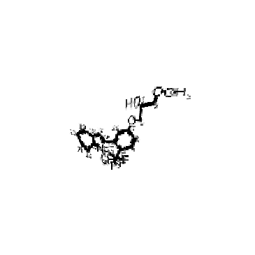 COCC(O)COc1ccc(C(F)(F)F)c(-c2cc3ccccc3n2C)c1